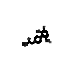 N#Cc1c(F)ccc([N+](=O)[O-])c1N1CCN(CC(N)=O)CC1